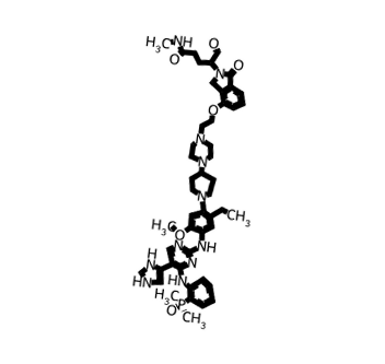 CCc1cc(Nc2ncc(C3=CNCN3)c(Nc3ccccc3P(C)(C)=O)n2)c(OC)cc1N1CCC(N2CCN(CCOc3cccc4c3CN(C(C=O)CCC(=O)NC)C4=O)CC2)CC1